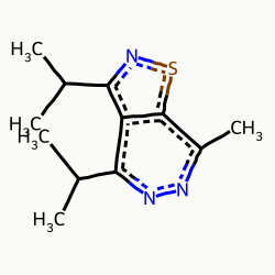 Cc1nnc(C(C)C)c2c(C(C)C)nsc12